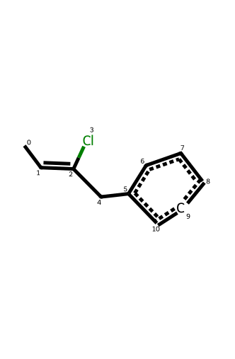 CC=C(Cl)Cc1ccccc1